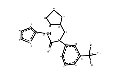 O=C(Nc1nccs1)C(CC1CCCC1)c1cccc(C(F)(F)F)c1